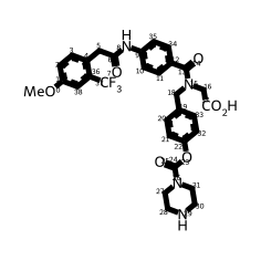 COc1ccc(CC(=O)Nc2ccc(C(=O)N(CC(=O)O)Cc3ccc(OC(=O)N4CCNCC4)cc3)cc2)c(C(F)(F)F)c1